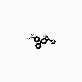 CN(C)c1ccc(C2(c3ccccc3)C=Cc3c(-c4ncc[nH]4)n[nH]c3C2)cc1